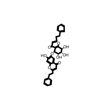 O=c1cc(CCc2ccccc2)oc2c1[C@H](Oc1cc3c(=O)cc(CCc4ccccc4)oc3cc1O)[C@@H](O)[C@@H](O)[C@@H]2O